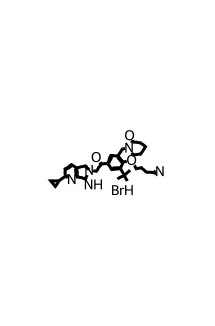 Br.CC(C)(C)c1cc(C(=O)CN2Cc3ccc(C4CC4)nc3C2=N)cc(CN2CCCCC2=O)c1OCCCC#N